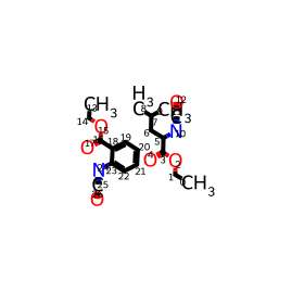 CCOC(=O)C(CC(C)C)N=C=O.CCOC(=O)c1ccccc1N=C=O